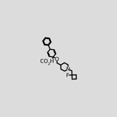 O=C(O)C1(OCC2CCN(CC3(F)CCC3)CC2)C=CC(c2ccccc2)C=C1